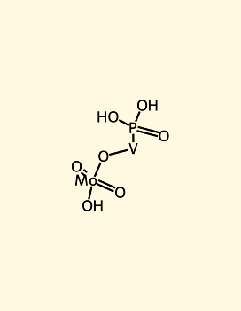 O=[P](O)(O)[V][O][Mo](=[O])(=[O])[OH]